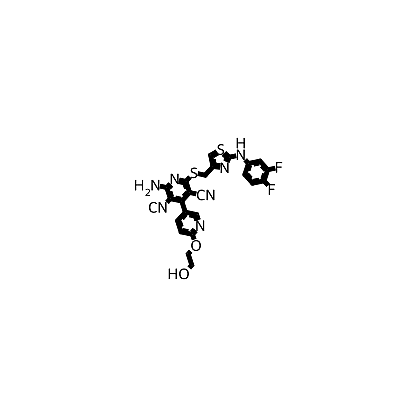 [C-]#[N+]c1c(N)nc(SCc2csc(Nc3ccc(F)c(F)c3)n2)c(C#N)c1-c1ccc(OCCO)nc1